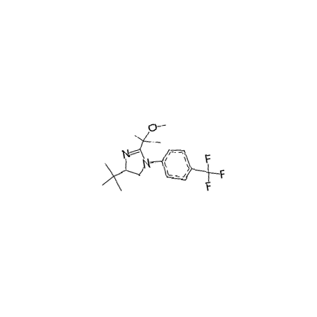 COC(C)(C)C1=NC(C(C)(C)C)CN1c1ccc(C(F)(F)F)cc1